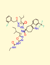 CCNC(=O)Nc1nnc([C@@H](NC(=O)[C@]2(NC(=O)[C@H](NC(=O)Cc3ccccc3F)C(C)CC)CCc3[nH]c4c(C(F)(F)F)cccc4c3C2)C(C)CC)o1